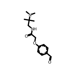 CN(C)C(C)(C)CNC(=O)COc1ccc(C=O)cc1